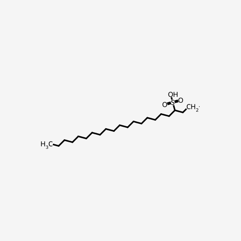 [CH2]CC(CCCCCCCCCCCCCCCCCC)S(=O)(=O)O